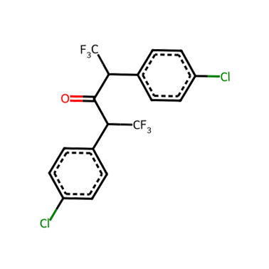 O=C(C(c1ccc(Cl)cc1)C(F)(F)F)C(c1ccc(Cl)cc1)C(F)(F)F